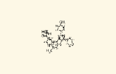 Cc1ccc(-c2nc(N3CCOCC3)c3sc(CN(C)c4ncc(C(=O)NO)cn4)cc3n2)cc1